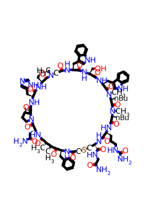 CCCC[C@H]1C(=O)N(C)[C@@H](CCCC)C(=O)N[C@@H](CCCNC(N)=O)C(=O)N[C@H](C(=O)NCC(N)=O)CSCC(=O)N[C@@H](Cc2ccccc2)C(=O)C(C)[C@@H](C)C(=O)N[C@H](CC(N)=O)C(=O)N2CCC[C@H]2C(=O)N[C@@H](Cc2cnc[nH]2)C(=O)N[C@@H](CC(C)C)C(=O)N(C)CC(=O)N[C@@H](Cc2c[nH]c3ccccc23)C(=O)N[C@@H](CO)C(=O)N[C@@H](Cc2c[nH]c3ccccc23)C(=O)N1C